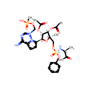 COC(=O)[C@H](C)N[P@](=O)(OC[C@@]1(C#N)O[C@@H](c2ccc3c(=N)ncn(COP(C)(=O)O)n23)[C@H](OC(=O)C(C)C)[C@@H]1OC(=O)C(C)C)Oc1ccccc1